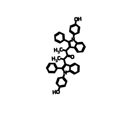 CC(C(=O)C(C)c1c(-c2ccccc2)n(-c2ccc(O)cc2)c2ccccc12)c1c(-c2ccccc2)n(-c2ccc(O)cc2)c2ccccc12